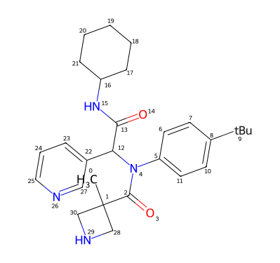 CC1(C(=O)N(c2ccc(C(C)(C)C)cc2)C(C(=O)NC2CCCCC2)c2cccnc2)CNC1